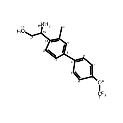 Cc1cc(-c2ccc(OC(F)(F)F)cc2)ccc1C(N)CO